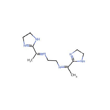 CC(=NCCN=C(C)C1=NCCN1)C1=NCCN1